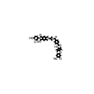 CC1(C)[C@H](NC(=O)c2ccc(C(=O)N3CC(N4Cc5cc6c(cc5C4)C(=O)N(C4CCC(O)NC4=O)C6=O)C3)cc2)C(C)(C)[C@H]1Oc1ccc(C#N)c(Cl)c1